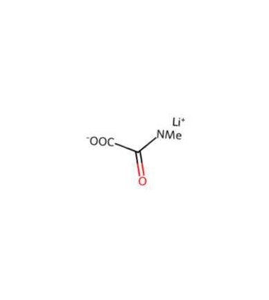 CNC(=O)C(=O)[O-].[Li+]